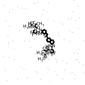 COC(=O)N[C@H](C(=O)N1CC(F)(F)C[C@H]1c1nc2ccc3cc(-c4cc5ccc6nc([C@@H]7CC(F)(F)CN7C(=O)[C@@H](NC(C)=O)C(C)C)[nH]c6c5s4)ccc3c2[nH]1)C(C)C